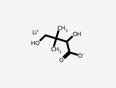 CC(C)(CO)C(O)C(=O)[O-].[Li+]